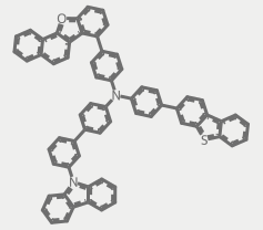 c1cc(-c2ccc(N(c3ccc(-c4ccc5c(c4)sc4ccccc45)cc3)c3ccc(-c4cccc5oc6c7ccccc7ccc6c45)cc3)cc2)cc(-n2c3ccccc3c3ccccc32)c1